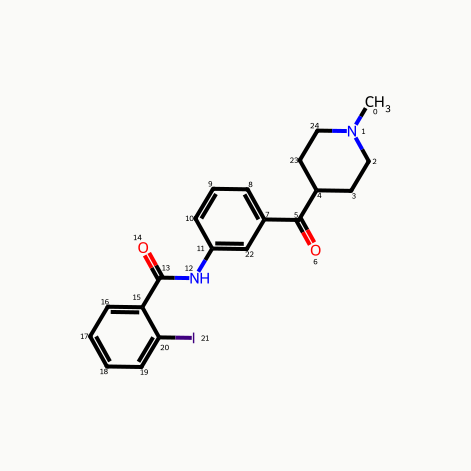 CN1CCC(C(=O)c2cccc(NC(=O)c3ccccc3I)c2)CC1